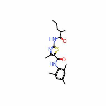 CCCC(C)C(=O)Nc1nc(C)c(C(=O)Nc2c(C)cc(C)cc2C)s1